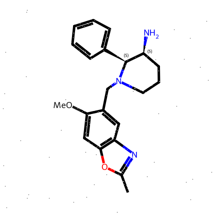 COc1cc2oc(C)nc2cc1CN1CCC[C@H](N)[C@@H]1c1ccccc1